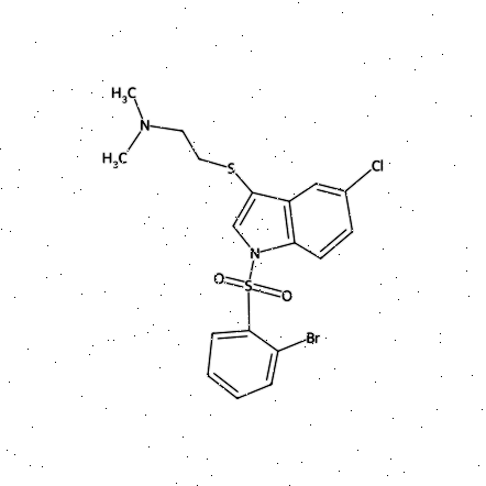 CN(C)CCSc1cn(S(=O)(=O)c2ccccc2Br)c2ccc(Cl)cc12